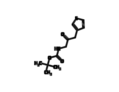 CC(C)(C)OC(=O)NCC(=O)Cc1ccsc1